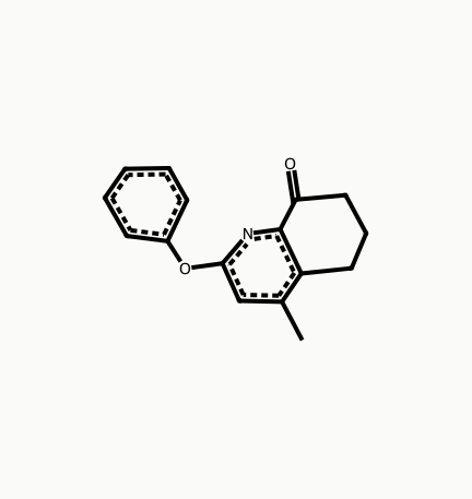 Cc1cc(Oc2ccccc2)nc2c1CCCC2=O